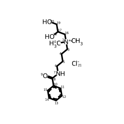 C[N+](C)(CCCCNC(=O)c1ccccc1)CC(O)CO.[Cl-]